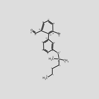 CCCC[Si](C)(C)Oc1cccc(-c2c(Br)cccc2C=O)c1